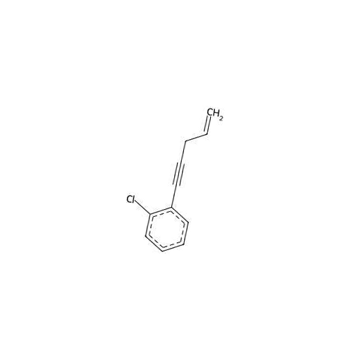 C=CCC#Cc1ccccc1Cl